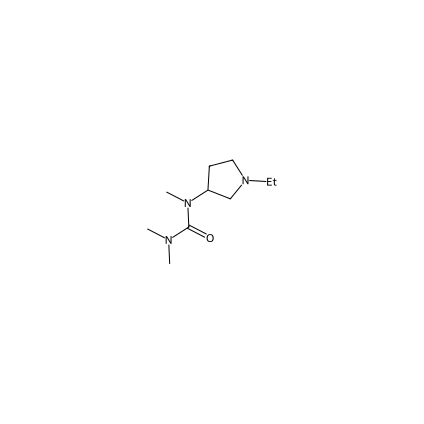 CCN1CCC(N(C)C(=O)N(C)C)C1